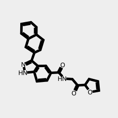 O=C(NCC(=O)C1CC=CO1)c1ccc2[nH]nc(-c3ccc4ccccc4c3)c2c1